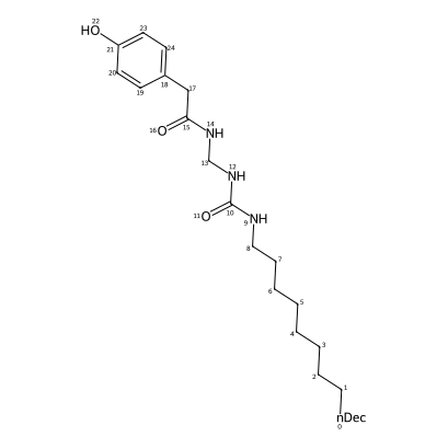 CCCCCCCCCCCCCCCCCCNC(=O)NCNC(=O)Cc1ccc(O)cc1